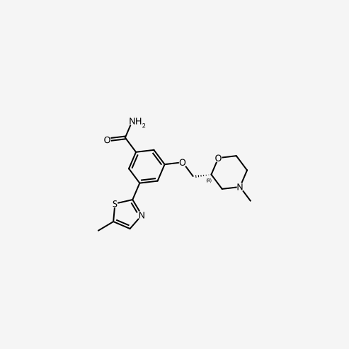 Cc1cnc(-c2cc(OC[C@H]3CN(C)CCO3)cc(C(N)=O)c2)s1